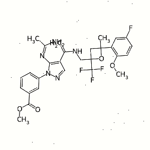 C=C(NCC1(C(F)(F)F)CC(C)(c2cc(F)ccc2OC)O1)c1cnn(-c2cccc(C(=O)OC)c2)c1/N=C(/C)N